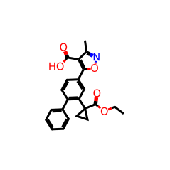 CCOC(=O)C1(c2cc(-c3onc(C)c3C(=O)O)ccc2-c2ccccc2)CC1